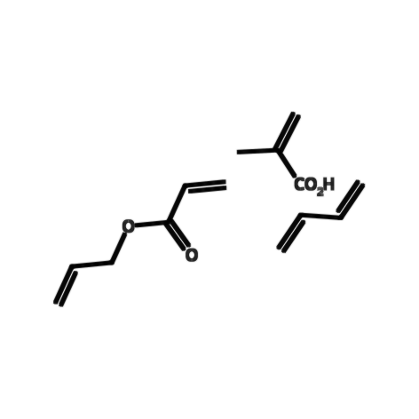 C=C(C)C(=O)O.C=CC=C.C=CCOC(=O)C=C